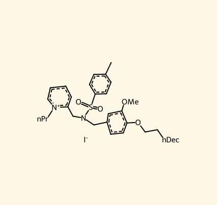 CCCCCCCCCCCCOc1ccc(CN(Cc2cccc[n+]2CCC)S(=O)(=O)c2ccc(C)cc2)cc1OC.[I-]